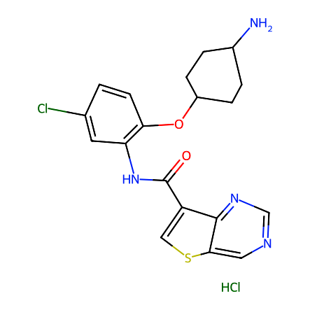 Cl.NC1CCC(Oc2ccc(Cl)cc2NC(=O)c2csc3cncnc23)CC1